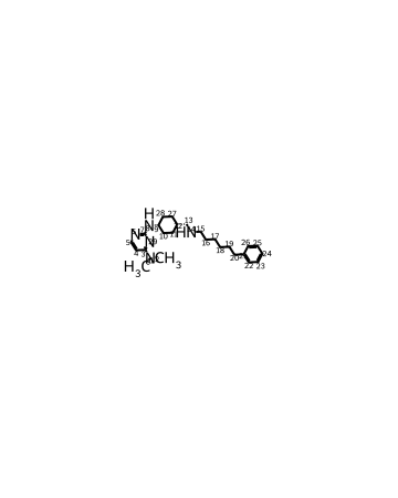 CN(C)c1ccnc(N[C@H]2CC[C@@H](CNCCCCCCc3ccccc3)CC2)n1